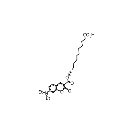 CCN(CC)c1ccc2cc(C(=O)OCCCCCCCCCCCC(=O)O)c(=O)oc2c1